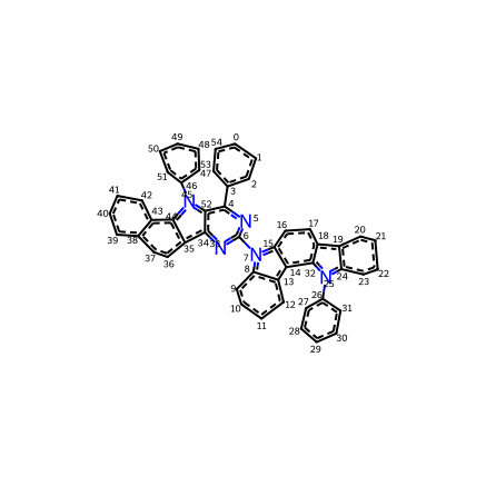 c1ccc(-c2nc(-n3c4ccccc4c4c3ccc3c5ccccc5n(-c5ccccc5)c34)nc3c4ccc5ccccc5c4n(-c4ccccc4)c23)cc1